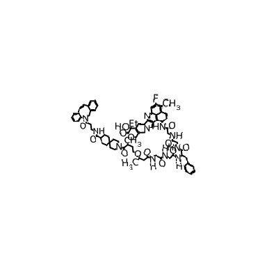 CCC1(O)C(=O)OCC2=C1C=C1c3nc4cc(F)c(C)c5c4c(c3CN1C2)C(NC(=O)CNC(=O)CNC(=O)C(Cc1ccccc1)NC(=O)CNC(=O)CNC(=O)CC(C)OCCC(C)C(=O)N1CCC2(CCC(C(=O)NCCC(=O)N3Cc4ccccc4/C=C\c4ccccc43)CC2)CC1)CC5